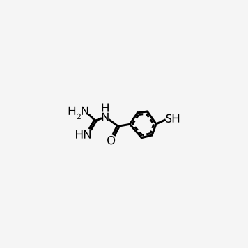 N=C(N)NC(=O)c1ccc(S)cc1